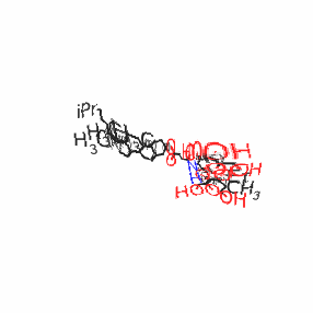 CCO[C@@H]1C(C)C(O)OC(CO)[C@H]1O[C@@H]1OC(CO)[C@@H](O)[C@H](O)C1NC(=O)CCC(=O)O[C@@H]1CC[C@@]2(C)C(=CCC3C2CC[C@@]2(C)C3CC[C@@H]2[C@H](C)CCCC(C)C)C1